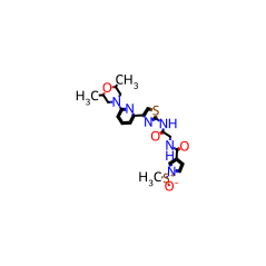 CC1CN(c2cccc(-c3csc(NC(=O)CNC(=O)c4ccn([S+](C)[O-])c4)n3)n2)CC(C)O1